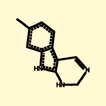 Cc1ccc2c3c([nH]c2c1)NCN=C3